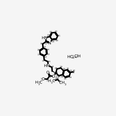 COCC(=O)O[C@]1(CCNCCc2ccc(Cc3nc4ccccc4[nH]3)cc2)CCc2cc(F)ccc2[C@@H]1C(C)C.Cl.Cl